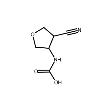 N#CC1COCC1NC(=O)O